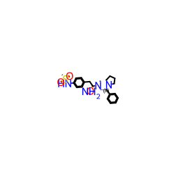 CN(C[C@@H](c1ccccc1)N1CCCC1)C(=O)Cc1ccc(NS(C)(=O)=O)cc1N